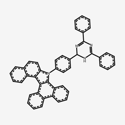 c1ccc(C2=NC(c3ccc(-n4c5ccc6ccccc6c5c5c6ccccc6c6ccccc6c54)cc3)NC(c3ccccc3)=N2)cc1